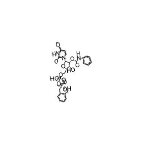 O=C(Nc1ccccc1)OC1[C@@H](O)[C@@H](COP(=O)(O)OP(=O)(O)Cc2ccccc2I)O[C@H]1n1ccc(=O)[nH]c1=O